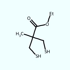 CCOC(=O)C(C)(CS)CS